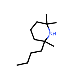 CCCCC1(C)CCCC(C)(C)N1